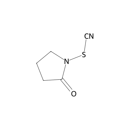 N#CSN1CCCC1=O